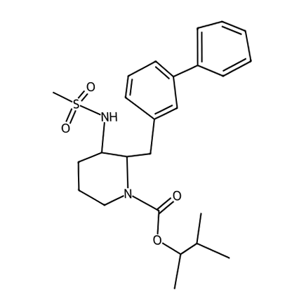 CC(C)C(C)OC(=O)N1CCCC(NS(C)(=O)=O)C1Cc1cccc(-c2ccccc2)c1